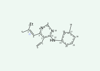 C=Cc1c(/C=C(/C)CC)ncnc1Nc1cccc(C)c1